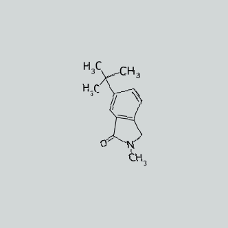 CN1Cc2ccc(C(C)(C)C)cc2C1=O